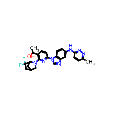 Cc1ccc(Nc2ccc3c(c2)ncn3-c2ccc(C(C)O)c(N3CC4CC3C(F)(F)C4)n2)nn1